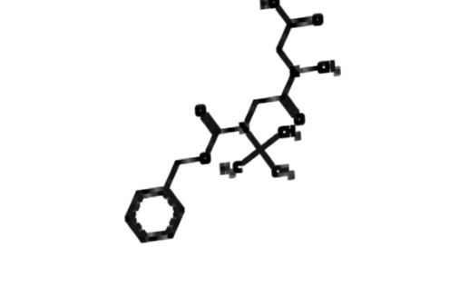 CN(CC(=O)O)C(=O)CN(C(=O)OCc1ccccc1)C(C)(C)C